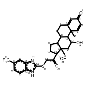 CC12C=CC(=O)C=C1CCC1C2[C@@H](O)CC2(C)C1CC[C@]2(O)C(=O)CSc1nc2cc(C(F)(F)F)ccc2[nH]1